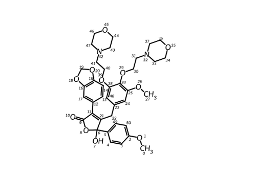 COc1ccc(C2(O)OC(=O)C(c3ccc4c(c3)OCO4)=C2Cc2cc(OC)c(OCCN3CCOCC3)c(OCCN3CCOCC3)c2)cc1